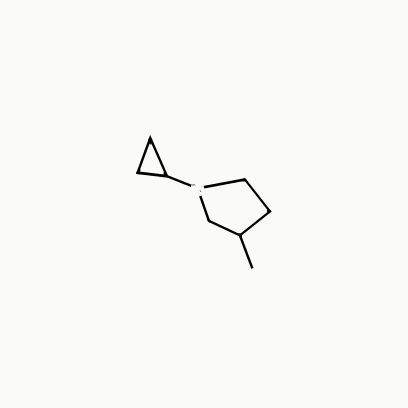 CC1CCN(C2CC2)C1